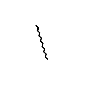 [CH2]CCCCCCCCCC/C=C/C